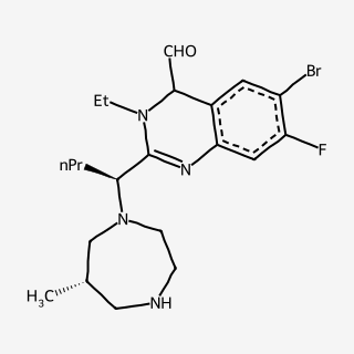 CCC[C@@H](C1=Nc2cc(F)c(Br)cc2C(C=O)N1CC)N1CCNC[C@H](C)C1